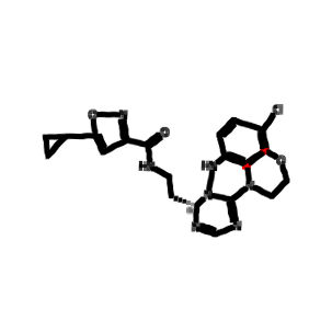 O=C(NCC[C@H]1N=CN=C(N2CCOCC2)N1Nc1ccc(Cl)cc1)c1cc(C2CC2)on1